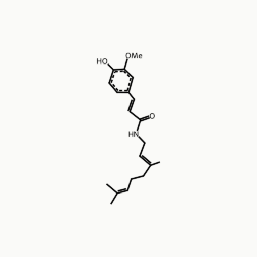 COc1cc(C=CC(=O)NC/C=C(\C)CCC=C(C)C)ccc1O